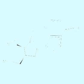 COC[C@@H]1C[C@@H](n2ccc3c(C)ncnc32)C(C)[C@@H]1OC